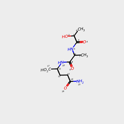 CC(O)C(=O)NC(C)C(=O)NC(CCC(N)=O)C(=O)O